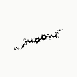 CCOCOC(=O)CCC(=O)Oc1ccc(-c2ccc(OC(=O)CCC(=O)OCCOC)cc2)cc1